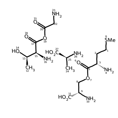 CSCC[C@H](N)C(=O)OC[C@H](N)C(=O)O.C[C@@H](O)[C@H](N)C(=O)OC(=O)CN.C[C@H](N)C(=O)O